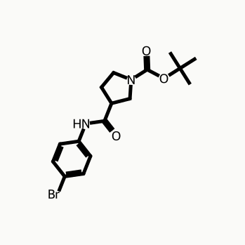 CC(C)(C)OC(=O)N1CCC(C(=O)Nc2ccc(Br)cc2)C1